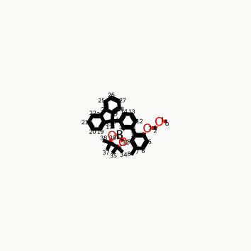 COCOc1ccc(C)cc1-c1cccc(C2(C)c3ccccc3-c3ccccc32)c1B1OC(C)(C)C(C)(C)O1